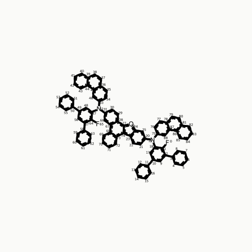 Fc1c(-c2ccccc2)cc(-c2ccccc2)cc1N(c1ccc2c(c1)oc1c3ccc(N(c4ccc5ccc6ccccc6c5c4)c4cc(-c5ccccc5)cc(-c5ccccc5)c4F)cc3c3ccccc3c21)c1ccc2ccc3ccccc3c2c1